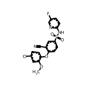 COc1cc(Cl)ccc1Oc1ccc(S(=O)(=O)Nc2ccc(F)cn2)cc1C#N